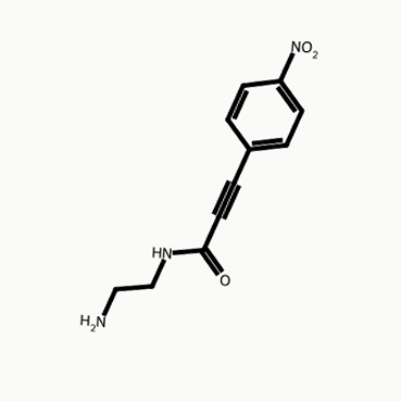 NCCNC(=O)C#Cc1ccc([N+](=O)[O-])cc1